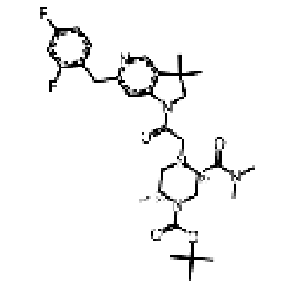 C[C@@H]1CN(CC(=O)N2CC(C)(C)c3cnc(Cc4ccc(F)cc4F)cc32)[C@@H](C(=O)N(C)C)CN1C(=O)OC(C)(C)C